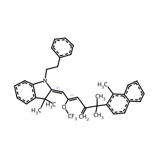 C=C(/C=C(/C=C1/N(CCc2ccccc2)c2ccccc2C1(C)C)OC(F)(F)F)C(C)(C)c1ccc2ccccc2c1C